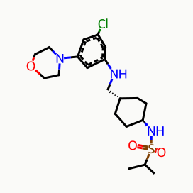 CC(C)S(=O)(=O)N[C@H]1CC[C@H](CNc2cc(Cl)cc(N3CCOCC3)c2)CC1